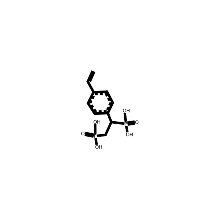 C=Cc1ccc(C(CP(=O)(O)O)P(=O)(O)O)cc1